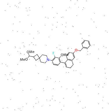 COc1c(C2=CCCc3cc(OCc4ccccc4)ccc32)ccc(N2CCC3(CC2)CC(C(OC)OC)C3)c1F